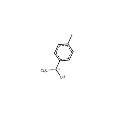 O[C@@H](c1ccc(F)cc1)C(Cl)(Cl)Cl